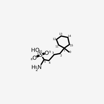 CC1(CCCC(N)S(=O)(=O)O)CCCCC1